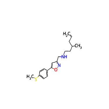 C=CCC(C)CCNCc1cc(-c2ccc(SC)cc2)on1